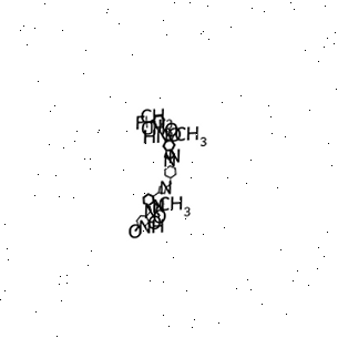 COc1cc2nn([C@H]3CC[C@H](CN4CC(c5cccc6c5n(C)c(=O)n6C5CCC(=O)NC5=O)C4)CC3)cc2cc1NC(=O)c1cccc(C(C)(C)F)n1